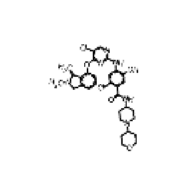 C=C1c2c(cccc2Oc2nc(Nc3cc(Cl)c(C(=O)NC4CCN(C5CCOCC5)CC4)cc3O)ncc2Cl)CN1C